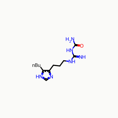 CCCCc1[nH]cnc1CCCNC(=N)NC(N)=O